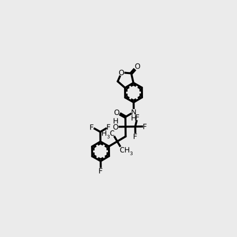 CC(C)(CC(O)(C(=O)Nc1ccc2c(c1)COC2=O)C(F)(F)F)c1cc(F)ccc1C(F)F